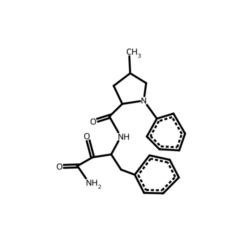 CC1CC(C(=O)NC(Cc2ccccc2)C(=O)C(N)=O)N(c2ccccc2)C1